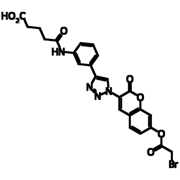 O=C(O)CCCC(=O)Nc1cccc(-c2cn(-c3cc4ccc(OC(=O)CBr)cc4oc3=O)nn2)c1